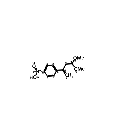 C=C(CC(OC)OC)c1ccc([N+](=O)O)cc1